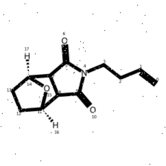 C=CCCN1C(=O)C2C(C1=O)[C@H]1CC[C@@H]2O1